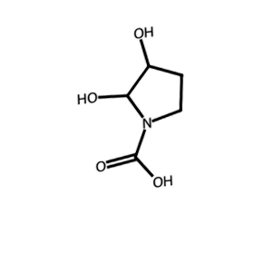 O=C(O)N1CCC(O)C1O